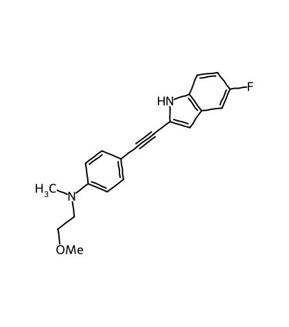 COCCN(C)c1ccc(C#Cc2cc3cc(F)ccc3[nH]2)cc1